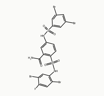 NC(=O)c1cc(NS(=O)(=O)c2cc(Br)cc(Br)c2)ccc1S(=O)(=O)Nc1cc(Br)c(F)cc1Br